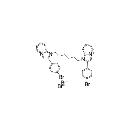 Brc1ccc(-c2c[n+]3ccccc3n2CCCCCCn2c(-c3ccc(Br)cc3)c[n+]3ccccc23)cc1.[Br-].[Br-]